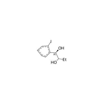 CCC(O)[C@H](O)c1ccccc1I